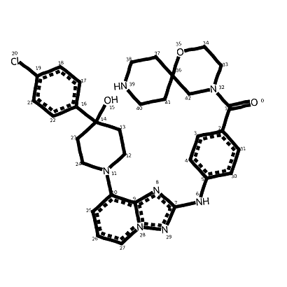 O=C(c1ccc(Nc2nc3c(N4CCC(O)(c5ccc(Cl)cc5)CC4)cccn3n2)cc1)N1CCOC2(CCNCC2)C1